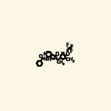 Cc1cc(C(C)N2Cc3c(ccnc3NC(=O)C3CCCCC3)C2=O)cnc1OCC(F)(F)F